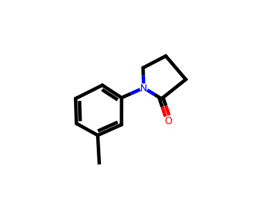 Cc1cccc(N2CCCC2=O)c1